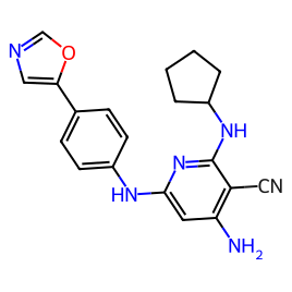 N#Cc1c(N)cc(Nc2ccc(-c3cnco3)cc2)nc1NC1CCCC1